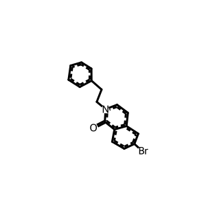 O=c1c2ccc(Br)cc2ccn1CCc1ccccc1